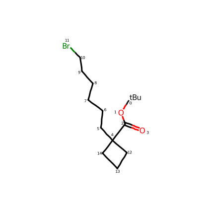 CC(C)(C)OC(=O)C1(CCCCCCBr)CCC1